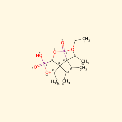 CCOP1(=O)OC(P(=O)(O)O)C(CC)(CC)C1(CC)CC